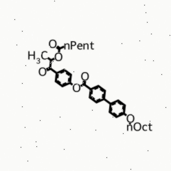 CCCCCCCCOc1ccc(-c2ccc(C(=O)Oc3ccc(C(=O)C(C)OC(=O)CCCCC)cc3)cc2)cc1